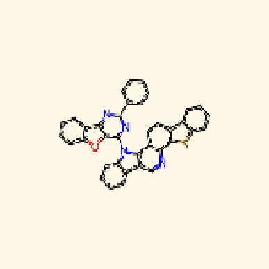 c1ccc(-c2nc(-n3c4ccccc4c4cnc5c(ccc6c7ccccc7sc65)c43)c3oc4ccccc4c3n2)cc1